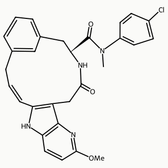 COc1ccc2[nH]c3c(c2n1)CC(=O)N[C@H](C(=O)N(C)c1ccc(Cl)cc1)Cc1cccc(c1)CC=C3